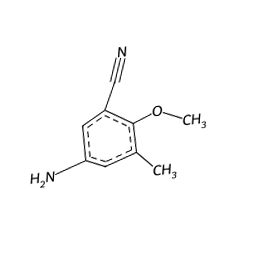 COc1c(C)cc(N)cc1C#N